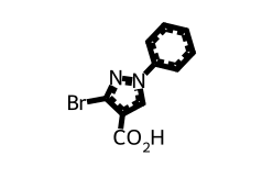 O=C(O)c1cn(-c2ccccc2)nc1Br